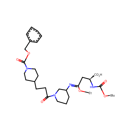 CCOC(C[C@H](NC(=O)OC(C)(C)C)C(=O)O)=NC1CCCN(C(=O)CCC2CCN(C(=O)OCc3ccccc3)CC2)C1